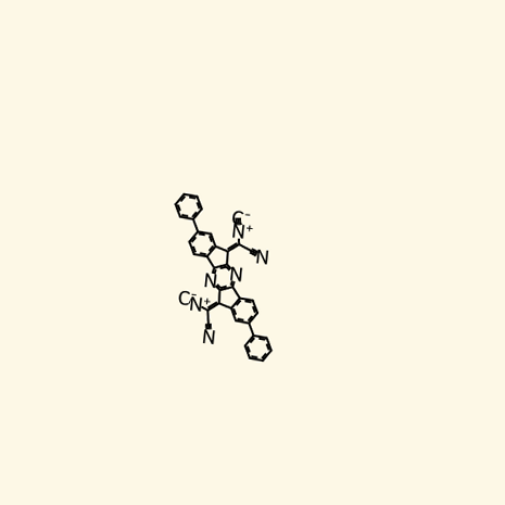 [C-]#[N+]/C(C#N)=C1/c2cc(-c3ccccc3)ccc2-c2nc3c(nc21)-c1ccc(-c2ccccc2)cc1/C3=C(/C#N)[N+]#[C-]